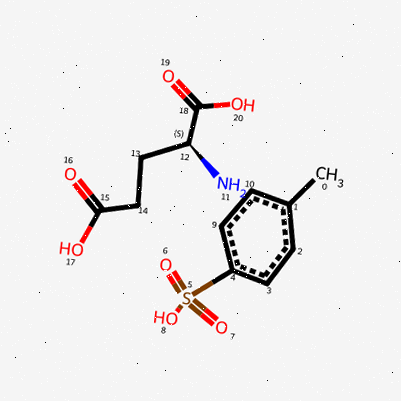 Cc1ccc(S(=O)(=O)O)cc1.N[C@@H](CCC(=O)O)C(=O)O